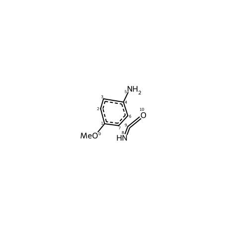 COc1ccc(N)cc1.N=C=O